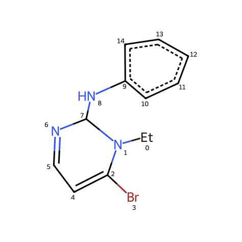 CCN1C(Br)=CC=NC1Nc1ccccc1